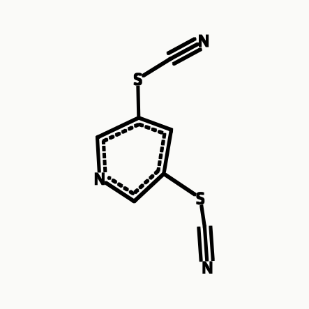 N#CSc1cncc(SC#N)c1